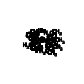 Cc1cc2c3c(c1)N1c4c(cc(C(C)(C)C)cc4C4(C)CCCC[C@]14C)B3c1ccc(N(c3ccc4c(c3)C(C)(C)CCC4(C)C)c3ccc4c(c3)C(C)(C)CCC4(C)C)cc1N2c1cccc2sc3ccccc3c12